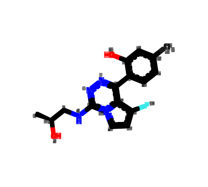 C[C@H](O)CNc1nnc(-c2ccc(C(F)(F)F)cc2O)c2c(F)ccn12